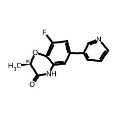 C[C@H]1Oc2c(F)cc(-c3cccnc3)cc2NC1=O